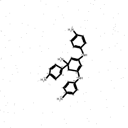 Nc1ccc(NC2=CC(N)(c3ccc(N)cc3)CC(Nc3ccc(N)cc3)=C2)cc1